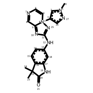 Cn1cc([N+]23C=CN=CC2=NC(Nc2ccc4c(c2)NC(=O)C4(C)C)=N3)cn1